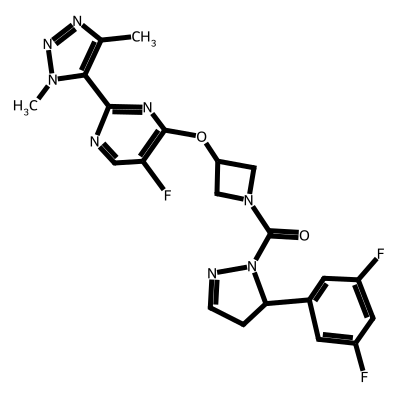 Cc1nnn(C)c1-c1ncc(F)c(OC2CN(C(=O)N3N=CCC3c3cc(F)cc(F)c3)C2)n1